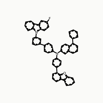 Fc1ccc2c(c1)c1ccccc1n2-c1cccc(-c2ccc(N(c3ccc(-c4cccc5c4oc4ccccc45)cc3)c3ccc4c(-c5ccccc5)cccc4c3)cc2)c1